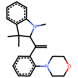 C=C(c1ccccc1N1CCOCC1)C1N(C)c2ccccc2C1(C)C